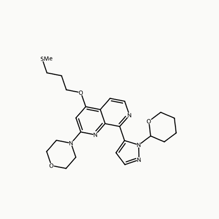 CSCCCOc1cc(N2CCOCC2)nc2c(-c3ccnn3C3CCCCO3)nccc12